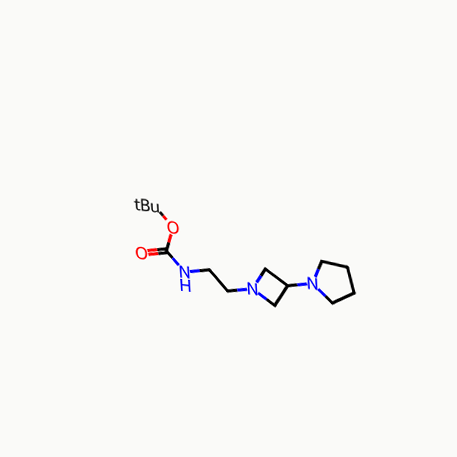 CC(C)(C)OC(=O)NCCN1CC(N2CCCC2)C1